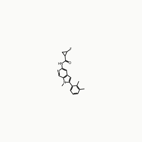 Cc1cccc(-c2cc3cc(NC(=O)C4CC4F)ncc3n2C)c1C